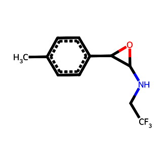 Cc1ccc(C2OC2NCC(F)(F)F)cc1